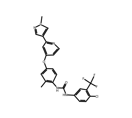 Cc1cc(Oc2ccnc(-c3cnn(C)c3)c2)ccc1NC(=O)Nc1ccc(Cl)c(C(F)(F)F)c1